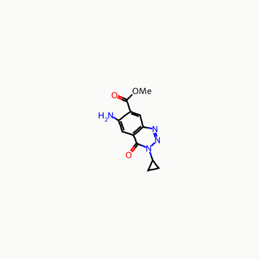 COC(=O)c1cc2nnn(C3CC3)c(=O)c2cc1N